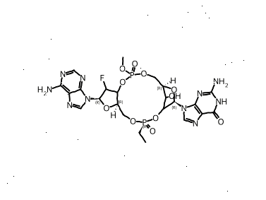 CC[P@@]1(=O)OC[C@H]2O[C@@H](n3cnc4c(N)ncnc43)C(F)C2OP(=O)(OC)OC[C@H]2O[C@@H](n3cnc4c(=O)[nH]c(N)nc43)C(O1)C2O